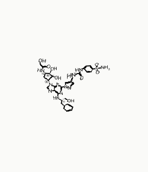 NS(=O)(=O)c1ccc(NC(=O)Nc2cnn(-c3nc(N[C@H](CO)Cc4ccccc4)c4ncn([C@@H]5C[C@H](NC(=O)CO)[C@@H](O)[C@H]5O)c4n3)c2)cc1